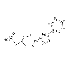 O=C(O)CN1CCN(c2nc(-c3ccccc3)cs2)CC1